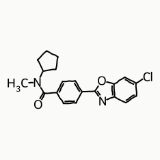 CN(C(=O)c1ccc(-c2nc3ccc(Cl)cc3o2)cc1)C1CCCC1